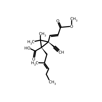 C#C[C@]1(C=CC(=O)OC)C(C)(C)[C@@]1(CC(C)=CCC)C(=O)O